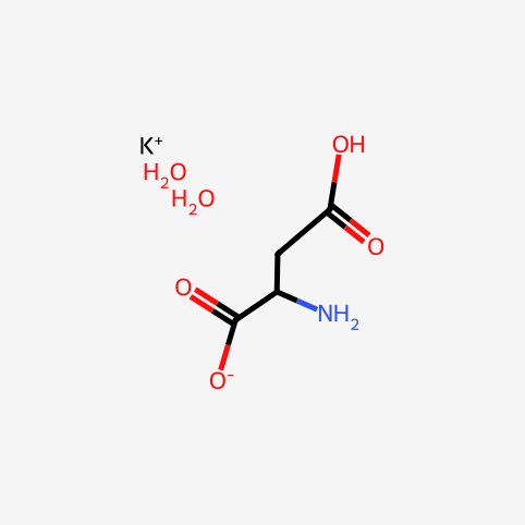 NC(CC(=O)O)C(=O)[O-].O.O.[K+]